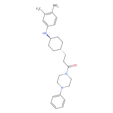 O=C(CC[C@H]1CC[C@H](Nc2ccc([N+](=O)[O-])c(C(F)(F)F)c2)CC1)N1CCN(c2ccccc2)CC1